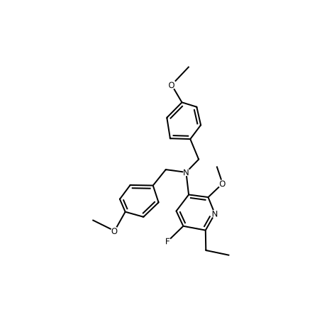 CCc1nc(OC)c(N(Cc2ccc(OC)cc2)Cc2ccc(OC)cc2)cc1F